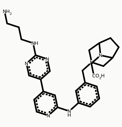 NCCCNc1ncc(-c2ccnc(Nc3cccc(CN4CC5CCC(C4)N5CC(=O)O)c3)c2)cn1